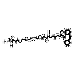 CC(C)[C@@H](C)NC(=O)CCOCCOCCOCCOCCC(=O)NCCCCCC(=O)N1Cc2ccccc2C#Cc2ccccc21